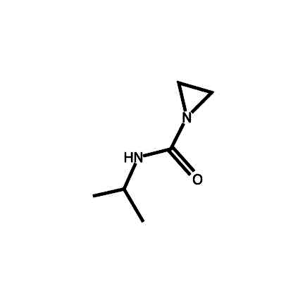 CC(C)NC(=O)N1CC1